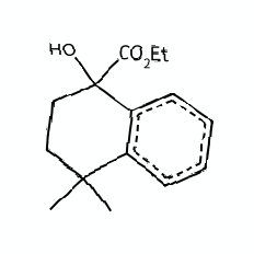 CCOC(=O)C1(O)CCC(C)(C)c2ccccc21